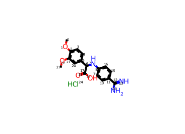 COc1ccc(C(Nc2ccc(C(=N)N)cc2)C(=O)O)cc1OC.Cl